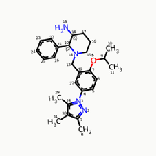 Cc1nn(-c2ccc(OC(C)C)c(CN3CCC[C@H](N)[C@@H]3c3ccccc3)c2)c(C)c1C